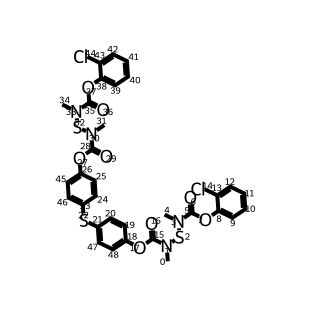 CN(SN(C)C(=O)Oc1ccccc1Cl)C(=O)Oc1ccc(Sc2ccc(OC(=O)N(C)SN(C)C(=O)Oc3ccccc3Cl)cc2)cc1